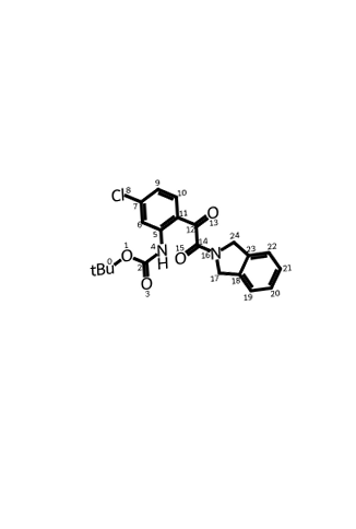 CC(C)(C)OC(=O)Nc1cc(Cl)ccc1C(=O)C(=O)N1Cc2ccccc2C1